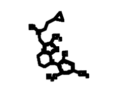 CCN(CCC1CC1)Cc1c(C(F)(F)F)nc2n1CCCN2c1c(C)cc(C)cc1Cl